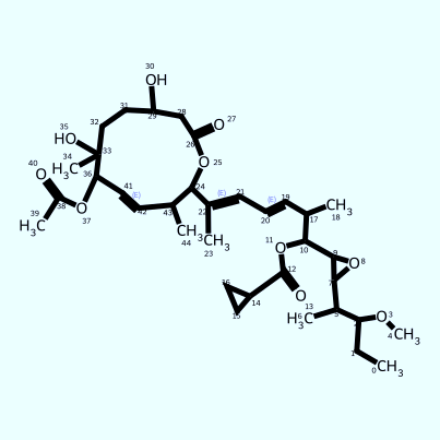 CCC(OC)C(C)C1OC1C(OC(=O)C1CC1)C(C)/C=C/C=C(\C)C1OC(=O)CC(O)CCC(C)(O)C(OC(C)=O)/C=C/C1C